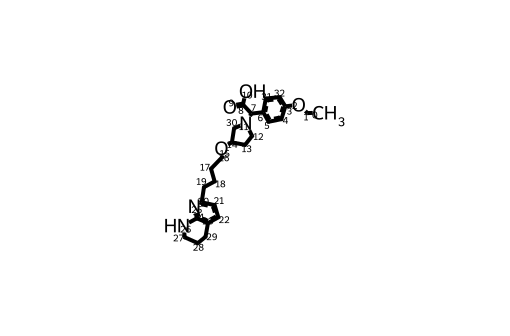 CCOc1ccc(C(C(=O)O)N2CCC(OCCCCc3ccc4c(n3)NCCC4)C2)cc1